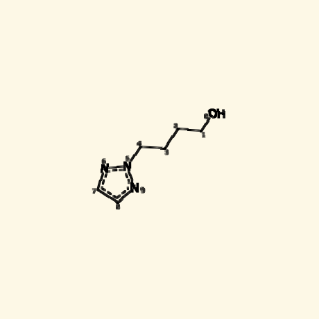 OCCCCn1nccn1